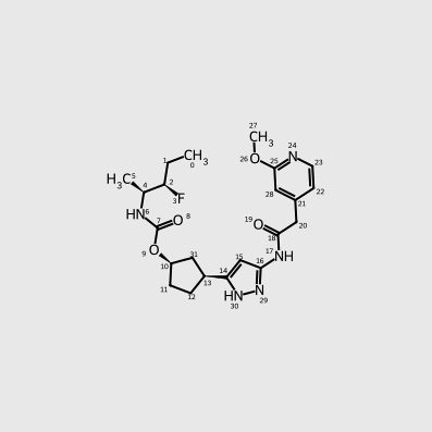 CC[C@@H](F)[C@H](C)NC(=O)O[C@@H]1CC[C@H](c2cc(NC(=O)Cc3ccnc(OC)c3)n[nH]2)C1